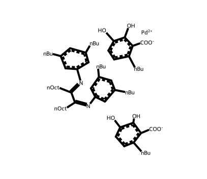 CCCCCCCCC(=Nc1cc(CCCC)cc(CCCC)c1)C(CCCCCCCC)=Nc1cc(CCCC)cc(CCCC)c1.CCCCc1ccc(O)c(O)c1C(=O)[O-].CCCCc1ccc(O)c(O)c1C(=O)[O-].[Pd+2]